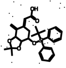 C=C1/C(=C/C(=O)O)CC(O[Si](c2ccccc2)(c2ccccc2)C(C)(C)C)C2OC(C)(C)OC12